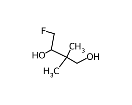 CC(C)(CO)C(O)CF